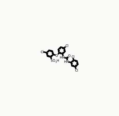 O=C(Nc1cc(Cl)ccc1Cl)Nc1cc(Cl)ccc1Oc1ccc(Cl)cc1S(=O)(=O)O